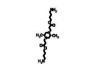 C[C@@H]1CN(CCC(=O)OCCCCN)[C@@H](C)CN1CCC(=O)OCCCCN